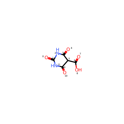 O=C1NC(=O)C(C(=O)O)C(=O)N1